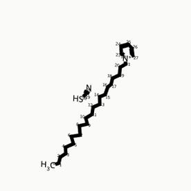 CCCCCCCCCCCCCCCCCCCCCC[n+]1ccccc1.N#CS